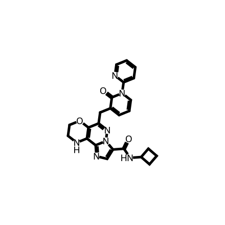 O=C(NC1CCC1)c1cnc2c3c(c(Cc4cccn(-c5ccccn5)c4=O)nn12)OCCN3